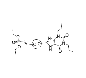 CCCn1c(=O)c2[nH]c(C34CCC(/C=C/P(=O)(OCC)OCC)(CC3)CC4)nc2n(CCC)c1=O